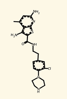 Cc1cc(N)nc2sc(C(=O)NCCc3ccc(N4CCNCC4)c(Cl)c3)c(N)c12